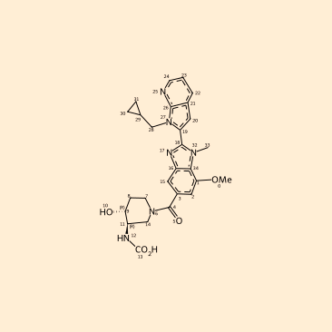 COc1cc(C(=O)N2CC[C@@H](O)[C@H](NC(=O)O)C2)cc2nc(-c3cc4cccnc4n3CC3CC3)n(C)c12